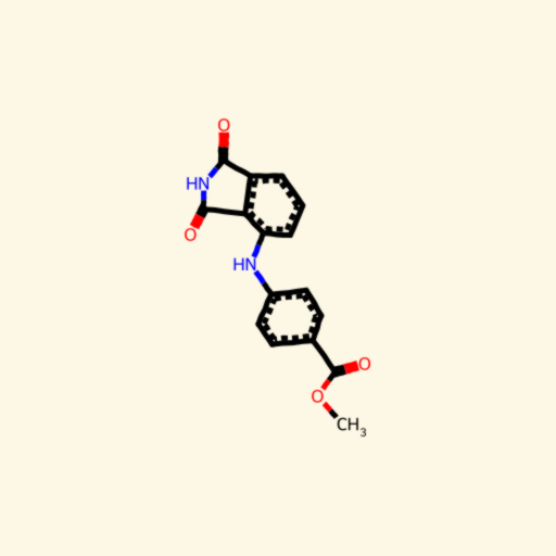 COC(=O)c1ccc(Nc2cccc3c2C(=O)NC3=O)cc1